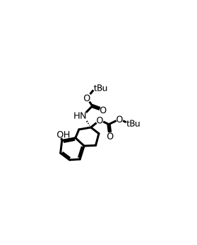 CC(C)(C)OC(=O)N[C@]1(OC(=O)OC(C)(C)C)CCc2cccc(O)c2C1